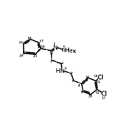 CCCCCCN=C(CCNCCc1ccc(Cl)c(Cl)c1)c1ccccc1